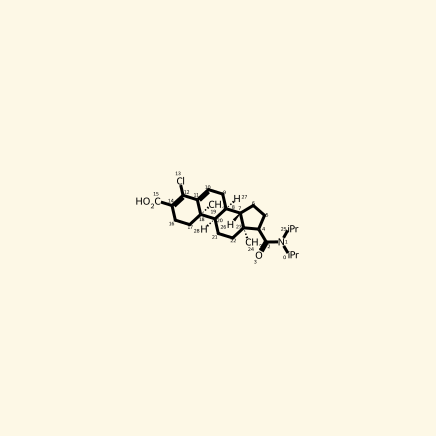 CC(C)N(C(=O)C1CC[C@H]2[C@@H]3CC=C4C(Cl)=C(C(=O)O)CC[C@]4(C)[C@@H]3CC[C@]12C)C(C)C